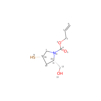 C=CCOC(=O)N1C[C@@H](S)C[C@H]1CO